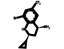 N[C@@H]1C[C@H](C2CC2)Nc2c(Br)cc(C(F)(F)F)cc21